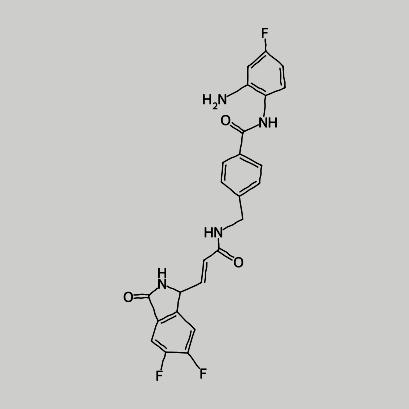 Nc1cc(F)ccc1NC(=O)c1ccc(CNC(=O)C=CC2NC(=O)c3cc(F)c(F)cc32)cc1